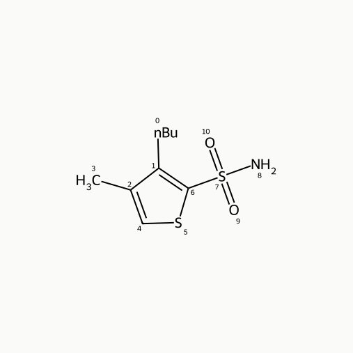 CCCCc1c(C)csc1S(N)(=O)=O